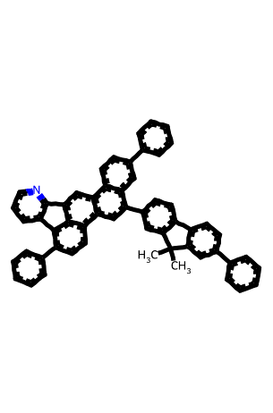 CC1(C)c2cc(-c3ccccc3)ccc2-c2ccc(-c3cc4c5ccc(-c6ccccc6)c6c5c(cc4c4ccc(-c5ccccc5)cc34)-c3ncccc3-6)cc21